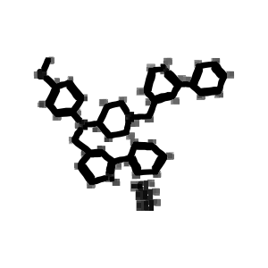 COc1ccc(N(Cc2ccnc(-c3ccccc3)c2)C2CCN(Cc3ccnc(-c4ccccc4)c3)CC2)cc1.Cl.Cl.Cl